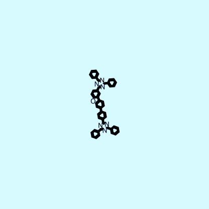 c1ccc(-c2nc(-c3ccccc3)nc(-c3ccc(-c4ccc5c(c4)oc4ccc(-c6nc(-c7ccccc7)nc(-c7ccccc7)n6)cc45)cc3)n2)cc1